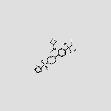 O=S(=O)(c1cccs1)N1CCN(c2ccc(C(O)(CF)C(F)F)cc2)[C@@H](CNC2COC2)C1